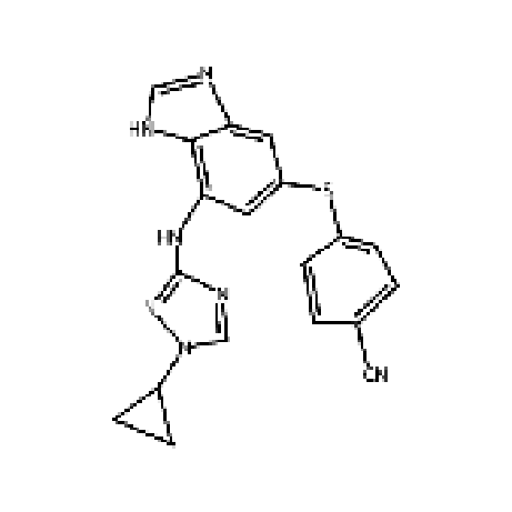 N#Cc1ccc(Sc2cc(Nc3ncn(C4CC4)n3)c3[nH]cnc3c2)cc1